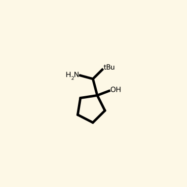 CC(C)(C)C(N)C1(O)CCCC1